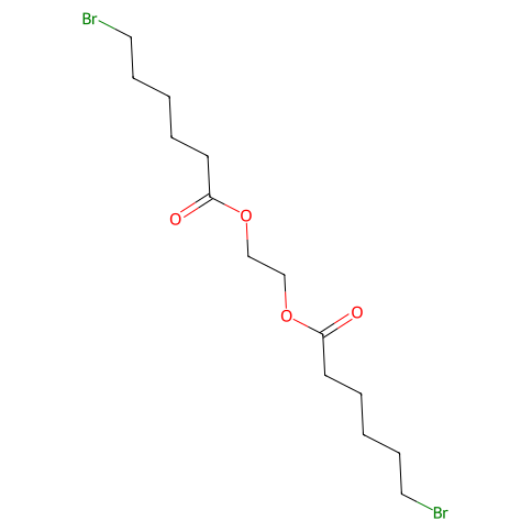 O=C(CCCCCBr)OCCOC(=O)CCCCCBr